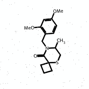 COc1ccc(CN2C(=O)C3(CCC3)SCC2C)c(OC)c1